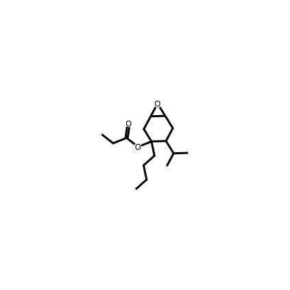 CCCCC1(OC(=O)CC)CC2OC2CC1C(C)C